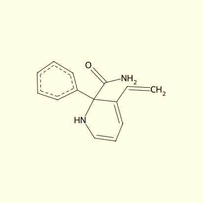 C=CC1=CC=CNC1(C(N)=O)c1ccccc1